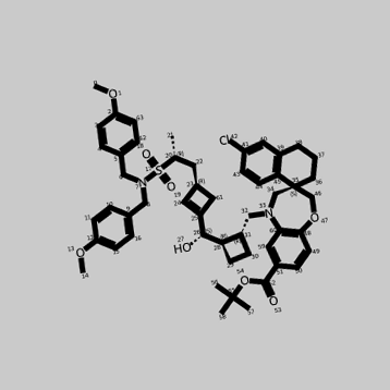 COc1ccc(CN(Cc2ccc(OC)cc2)S(=O)(=O)[C@H](C)C[C@@H]2C=C([C@@H](O)[C@@H]3CC[C@H]3CN3C[C@@]4(CCCc5cc(Cl)ccc54)COc4ccc(C(=O)OC(C)(C)C)cc43)C2)cc1